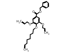 C=CCCCCCCOc1c(OCC=C)cc(C(=O)OCc2ccccc2)cc1OCC=C